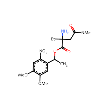 CCC(N)(CC(=O)NC)C(=O)OC(C)c1cc(OC)c(OC)cc1[N+](=O)[O-]